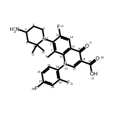 Cc1c(N2CCC(N)CC2(C)C)c(F)cc2c(=O)c(C(=O)O)cn(-c3ccc(F)cc3F)c12